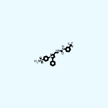 NS(=O)(=O)c1ccc(-n2nc(CCNC(=O)Nc3cccc(C(F)(F)F)c3)cc2-c2ccccc2)cc1